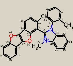 Cc1ccccc1-n1c(-c2c(C)ccc3c2oc2c4ccccc4oc32)[n+](C)c2ccccc21